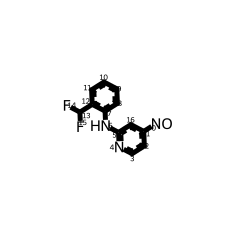 O=Nc1ccnc(Nc2ccccc2C(F)F)c1